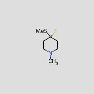 CSC1(F)CCN(C)CC1